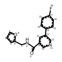 O=C(NCc1ccco1)c1cncc(-c2ccc(F)cc2)c1